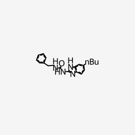 CCCCc1ccc2nc(NC(=O)NCCc3ccccc3)[nH]c2c1